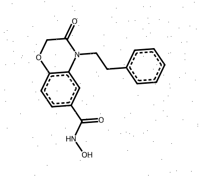 O=C(NO)c1ccc2c(c1)N(CCc1ccccc1)C(=O)CO2